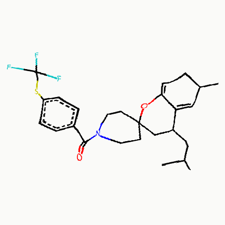 CC(C)CC1CC2(CCN(C(=O)c3ccc(SC(F)(F)F)cc3)CC2)OC2=CCC(C)C=C21